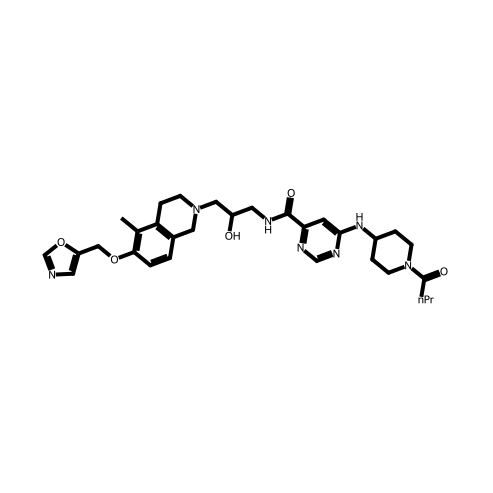 CCCC(=O)N1CCC(Nc2cc(C(=O)NCC(O)CN3CCc4c(ccc(OCc5cnco5)c4C)C3)ncn2)CC1